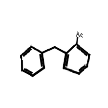 CC(=O)c1ccccc1Cc1[c]cccc1